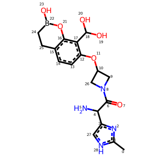 Cc1nc(C(N)C(=O)N2CC(Oc3ccc4c(c3C(O)O)OB(O)CC4)C2)c[nH]1